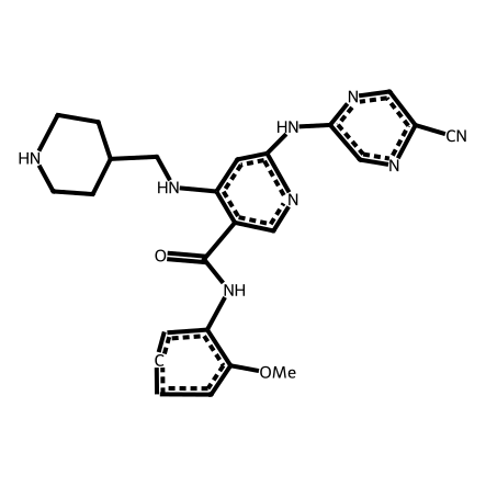 COc1ccccc1NC(=O)c1cnc(Nc2cnc(C#N)cn2)cc1NCC1CCNCC1